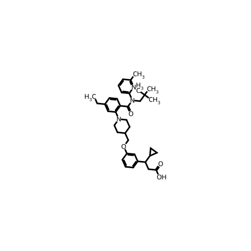 CCc1ccc(C(=O)N(CC(C)(C)C)c2cccc(C)n2)c(N2CCC(COc3cccc(C(CC(=O)O)C4CC4)c3)CC2)c1